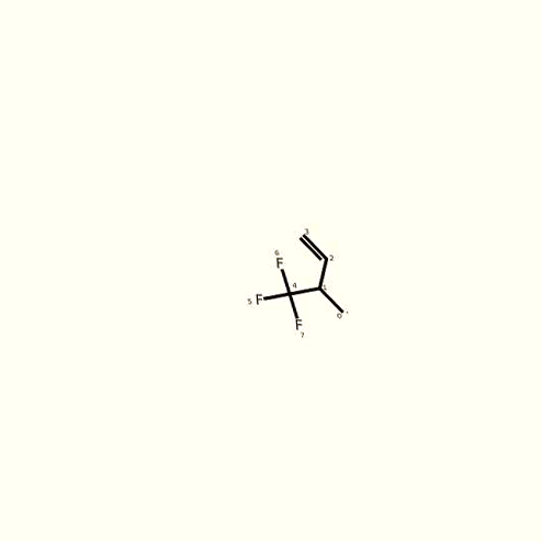 [CH2]C(C=C)C(F)(F)F